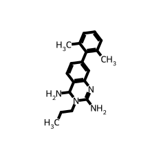 CCCN1C(N)=Nc2cc(-c3c(C)cccc3C)ccc2C1N